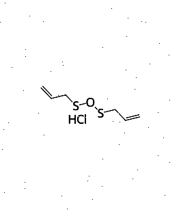 C=CCSOSCC=C.Cl